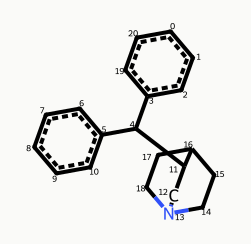 c1ccc(C(c2ccccc2)C2CN3CCC2CC3)cc1